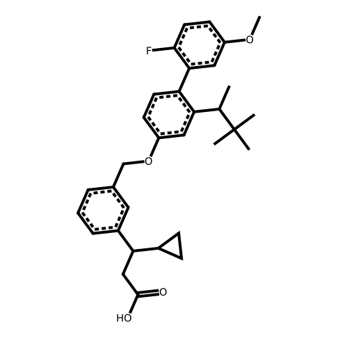 COc1ccc(F)c(-c2ccc(OCc3cccc(C(CC(=O)O)C4CC4)c3)cc2C(C)C(C)(C)C)c1